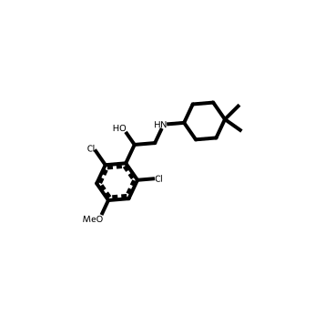 COc1cc(Cl)c(C(O)CNC2CCC(C)(C)CC2)c(Cl)c1